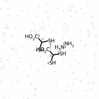 N.N.O=C(O)C(S)S.O=C(O)C(S)S